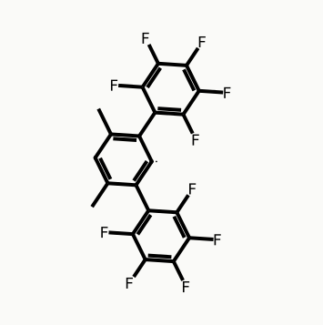 Cc1cc(C)c(-c2c(F)c(F)c(F)c(F)c2F)[c]c1-c1c(F)c(F)c(F)c(F)c1F